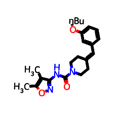 CCCCOc1cccc(C=C2CCN(C(=O)Nc3noc(C)c3C)CC2)c1